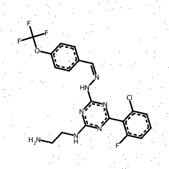 NCCNc1nc(N/N=C\c2ccc(OC(F)(F)F)cc2)nc(-c2c(F)cccc2Cl)n1